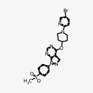 CS(=O)(=O)c1ccc(-n2ncc3c(OC4CCN(c5ccc(Br)cn5)CC4)ncnc32)cc1